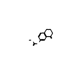 CC(C)(C)OC(=O)Oc1ccc2c(c1)C(=O)CCC2